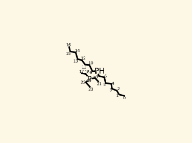 CCCCCCCCPCCCCCCCC.CCP(CC)CC